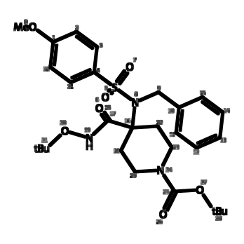 COc1ccc(S(=O)(=O)N(Cc2ccccc2)C2(C(=O)NOC(C)(C)C)CCN(C(=O)OC(C)(C)C)CC2)cc1